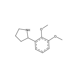 COc1cccc(C2CCCN2)c1OC